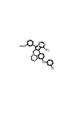 COc1cccc(-c2c(CN3CCOCC3)c(-c3ccc(Oc4cccc(Cl)c4)cc3)c3c(N)ncnn23)c1